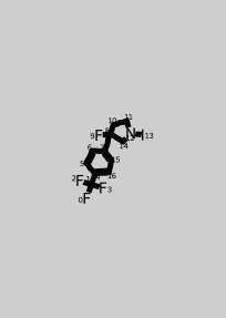 FC(F)(F)c1ccc(C2(F)CCN(I)C2)cc1